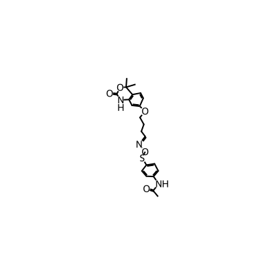 CC(=O)Nc1ccc(SON=CCCCOc2ccc3c(c2)NC(=O)OC3(C)C)cc1